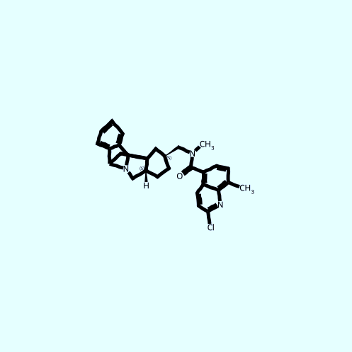 Cc1ccc(C(=O)N(C)C[C@H]2CC[C@@H]3CN4C5CC3(C2)C4c2ccccc25)c2ccc(Cl)nc12